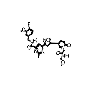 COCNC(=O)Cn1cc(C2CC(c3cc(C(=O)NCc4ccc(F)c(OC)c4)nc(C)n3)=NO2)ccc1=O